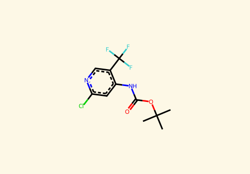 CC(C)(C)OC(=O)Nc1cc(Cl)ncc1C(F)(F)F